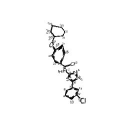 O=C(Nc1nnc(-c2cccc(Cl)c2)s1)c1ccc(OC2CCCCC2)cc1